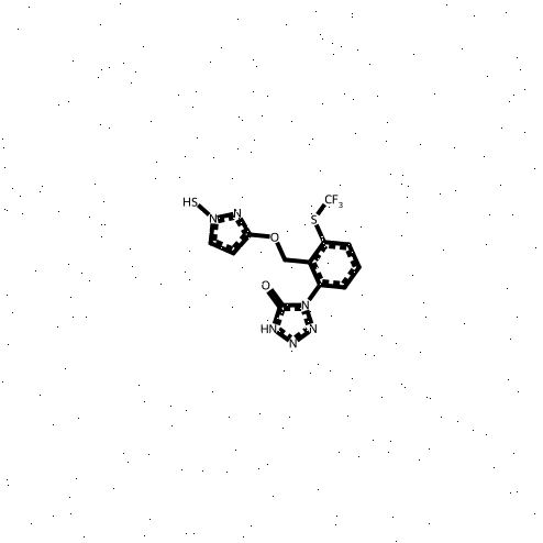 O=c1[nH]nnn1-c1cccc(SC(F)(F)F)c1COc1ccn(S)n1